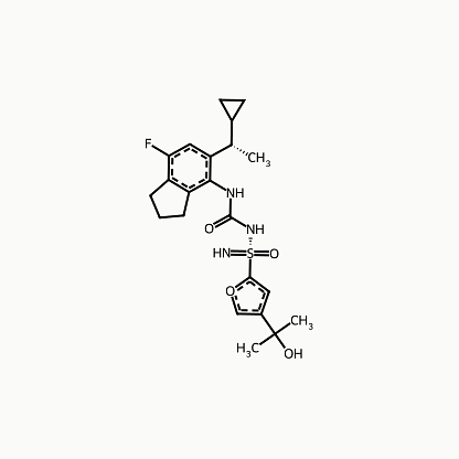 C[C@H](c1cc(F)c2c(c1NC(=O)N[S@](=N)(=O)c1cc(C(C)(C)O)co1)CCC2)C1CC1